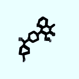 CCC(c1ccc(F)cc1)N1CCN(c2c([N+](=O)[O-])c(=O)n(C)c3cccnc23)CC1